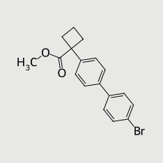 COC(=O)C1(c2ccc(-c3ccc(Br)cc3)cc2)CCC1